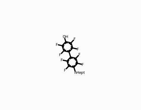 CCCCCCCc1c(F)c(F)c(-c2c(F)c(F)c(O)c(F)c2F)c(F)c1F